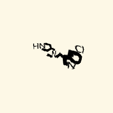 CCN(CCc1cn(C)c2ccc(Cl)cc12)CC1CCNCC1